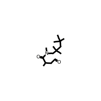 CC(CC=O)C(=O)N(C)CC(C)(C)CC(C)(C)C